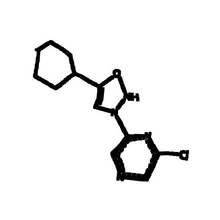 Clc1cncc(N2C=C(C3CC[CH]CC3)ON2)n1